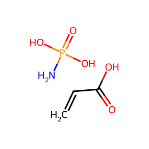 C=CC(=O)O.NP(=O)(O)O